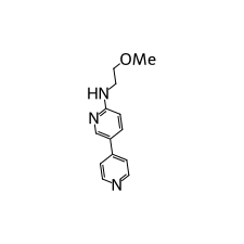 COCCNc1ccc(-c2ccncc2)cn1